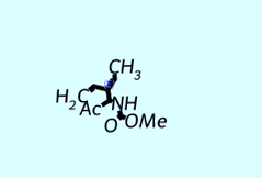 C=C/C(=C\C)C(NC(=O)OC)C(C)=O